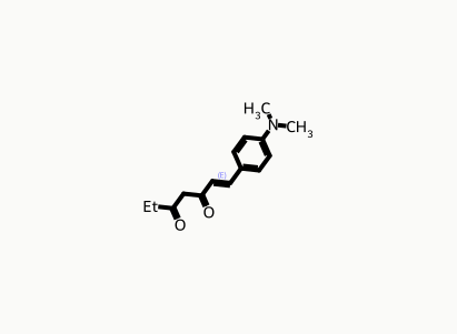 CCC(=O)CC(=O)/C=C/c1ccc(N(C)C)cc1